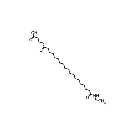 CCNC(=O)CCCCCCCCCCCCCCCCCC(=O)NCCC(=O)O